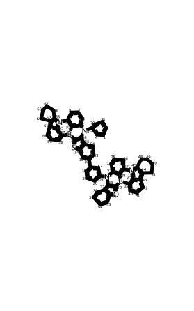 c1ccc(N2c3cccc4c3B(c3sc5cc(-c6cccc(N7c8cccc9c8B(c8oc%10ccccc%10c87)c7cccc8c%10c(n-9c78)CCCC%10)c6)ccc5c32)c2cccc3c5c(n-4c23)CCCC5)cc1